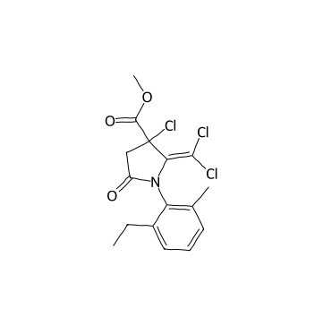 CCc1cccc(C)c1N1C(=O)CC(Cl)(C(=O)OC)C1=C(Cl)Cl